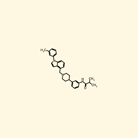 Cc1cccc(-n2ccc3c(CN4CCC(c5cccc(NC(=O)C(C)C)c5)CC4)cccc32)c1